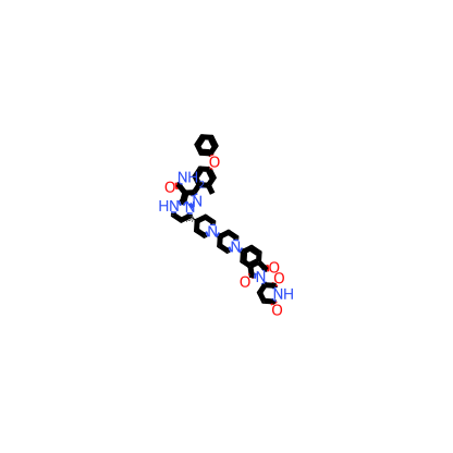 CC1C=C(Oc2ccccc2)C=CC1c1nn2c(c1C(N)=O)NCC[C@H]2C1CCN(C2CCN(c3ccc4c(c3)C(=O)N(C3CCC(=O)NC3=O)C4=O)CC2)CC1